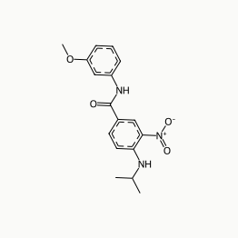 COc1cccc(NC(=O)c2ccc(NC(C)C)c([N+](=O)[O-])c2)c1